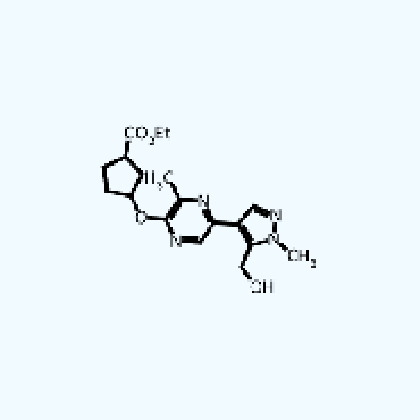 CCOC(=O)C1CCC(Oc2ncc(-c3cnn(C)c3CO)nc2C)C1